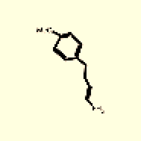 B/C=C/CCc1ccc(OC)cc1